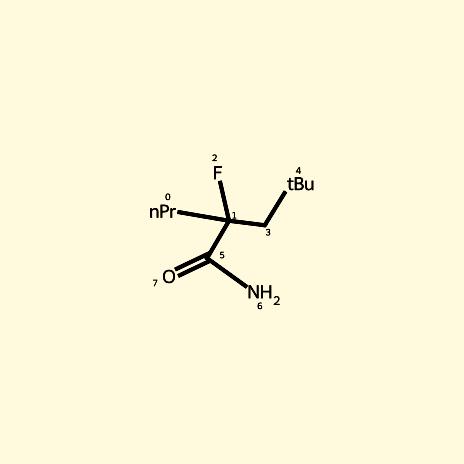 CCCC(F)(CC(C)(C)C)C(N)=O